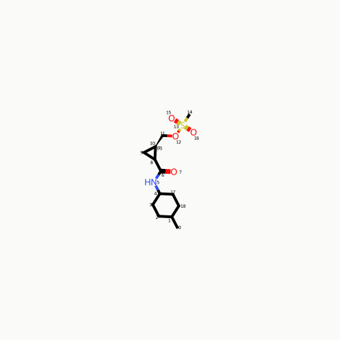 CC1CCC(NC(=O)C2C[C@H]2COS(C)(=O)=O)CC1